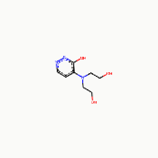 OCCN(CCO)c1ccnnc1O